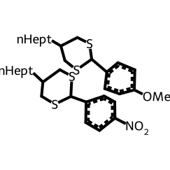 CCCCCCCC1CSC(c2ccc(OC)cc2)SC1.CCCCCCCC1CSC(c2ccc([N+](=O)[O-])cc2)SC1